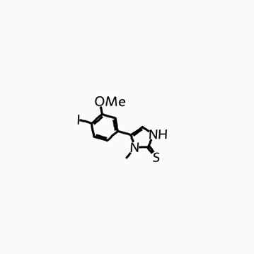 COc1cc(-c2c[nH]c(=S)n2C)ccc1I